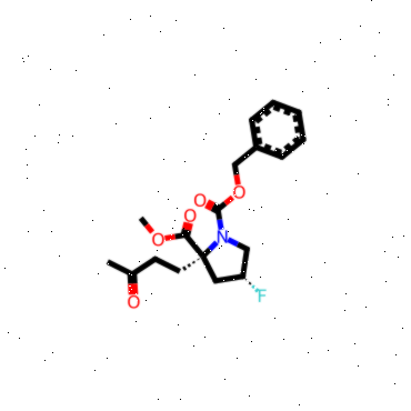 COC(=O)[C@]1(CCC(C)=O)C[C@@H](F)CN1C(=O)OCc1ccccc1